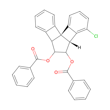 O=C(OC1C(OC(=O)c2ccccc2)[C@H]2c3c(Cl)cccc3[C@@]23c2ccccc2C13)c1ccccc1